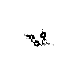 Nc1nc(Nc2ccc(Oc3ccnc(C(F)(F)F)c3)cc2)cc(-c2ccc(F)cc2)n1